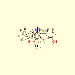 CO[C@]12C[C@@]3(C[C@@H]1[C@](C)(O)C(C)(C)C)C1Cc4ccc(O)c5c4C3(CCN1)[C@H]2O5